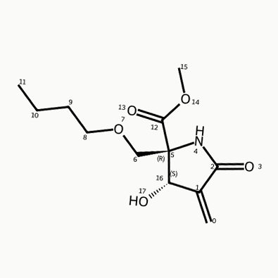 C=C1C(=O)N[C@@](COCCCC)(C(=O)OC)[C@H]1O